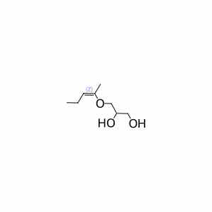 CC/C=C(/C)OCC(O)CO